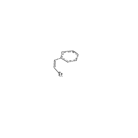 CC/C=C\c1ccccc1